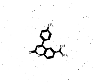 NC(O)c1ccc2oc(=O)cc(-c3ccc(C(F)(F)F)cc3)c2c1